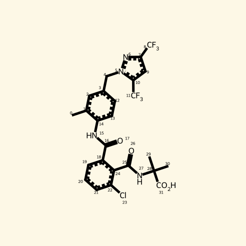 Cc1cc(Cn2nc(C(F)(F)F)cc2C(F)(F)F)ccc1NC(=O)c1cccc(Cl)c1C(=O)NC(C)(C)C(=O)O